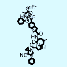 CCCOC(=O)[C@H](C)NP(=O)(Oc1ccccc1)[C@H](F)c1ccc2sc(C(=O)N[C@H]3C[C@@H](C)C[C@H]4CC[C@@H](C(=O)N5C[C@H](c6ccccc6)[C@@H](C#N)C56CC6)N4C3=O)cc2c1